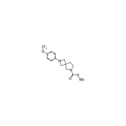 CC(C)(C)OC(=O)N1CCC2(C1)CN(c1ccc(OC(F)(F)F)cc1)C2